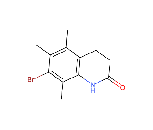 Cc1c(C)c2c(c(C)c1Br)NC(=O)CC2